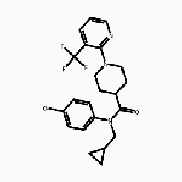 O=C(C1CCN(c2ncccc2C(F)(F)F)CC1)N(CC1CC1)c1ccc(Cl)cc1